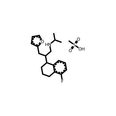 CC(C)NCC(Cc1ccco1)C1CCCc2c(F)cccc21.CS(=O)(=O)O